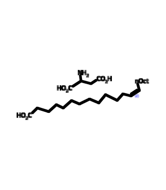 CCCCCCCC/C=C\CCCCCCCCCCCC(=O)O.NC(CC(=O)O)C(=O)O